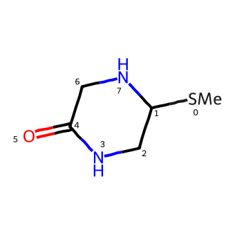 CSC1CNC(=O)CN1